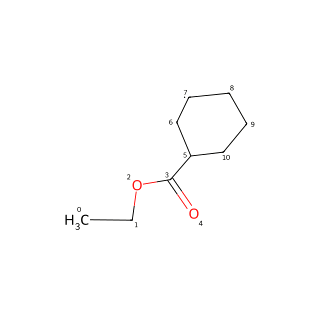 CCOC(=O)C1C[CH]CCC1